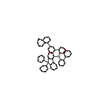 c1ccc(-c2ccccc2N(c2ccccc2-c2cccc(-c3cccc4ccccc34)c2)c2cccc3c2-c2ccccc2C3(c2ccccc2)c2ccccc2)cc1